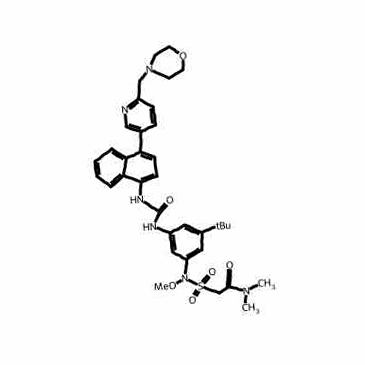 CON(c1cc(NC(=O)Nc2ccc(-c3ccc(CN4CCOCC4)nc3)c3ccccc23)cc(C(C)(C)C)c1)S(=O)(=O)CC(=O)N(C)C